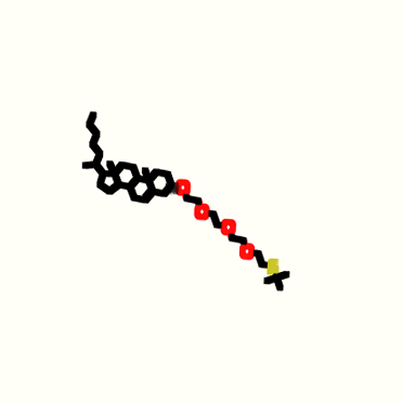 CCCCCC(C)C1CCC2C3CC=C4C[C@@H](OCCOCCOCCOCCSC(C)(C)C)CCC4(C)C3CCC12C